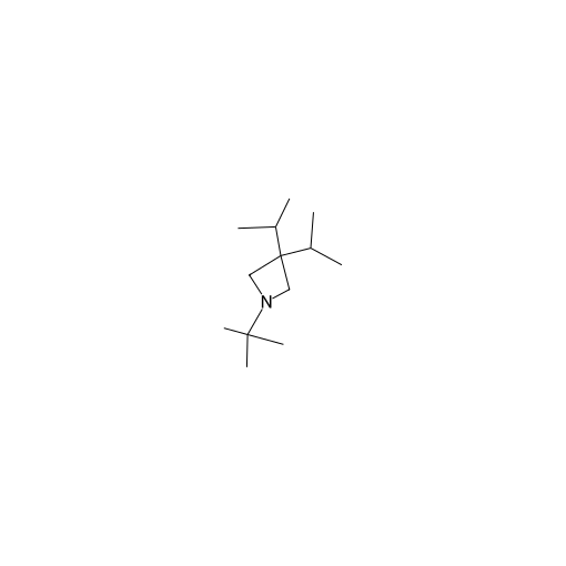 CC(C)C1(C(C)C)CN(C(C)(C)C)C1